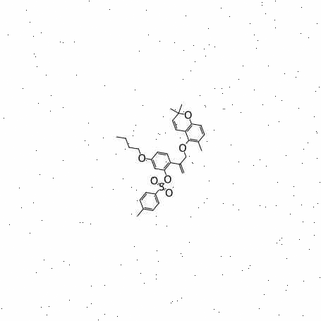 C=C(COc1c(C)ccc2c1C=CC(C)(C)O2)c1ccc(OCCCC)cc1OS(=O)(=O)c1ccc(C)cc1